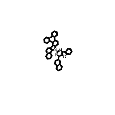 c1ccc2cc(-c3nc(-n4c5ccc6c7ccccc7c7ccccc7c6c5c5ccc6ccccc6c54)nc4c3oc3ccccc34)ccc2c1